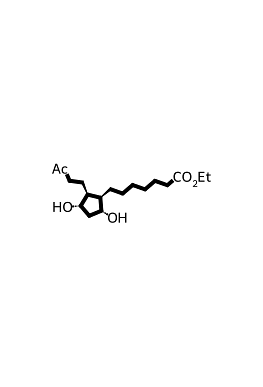 CCOC(=O)CCCCCC[C@@H]1[C@H](CCC(C)=O)[C@@H](O)C[C@H]1O